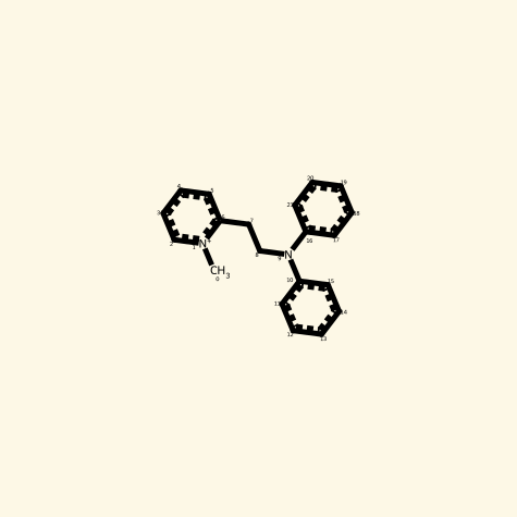 C[n+]1ccccc1CCN(c1ccccc1)c1ccccc1